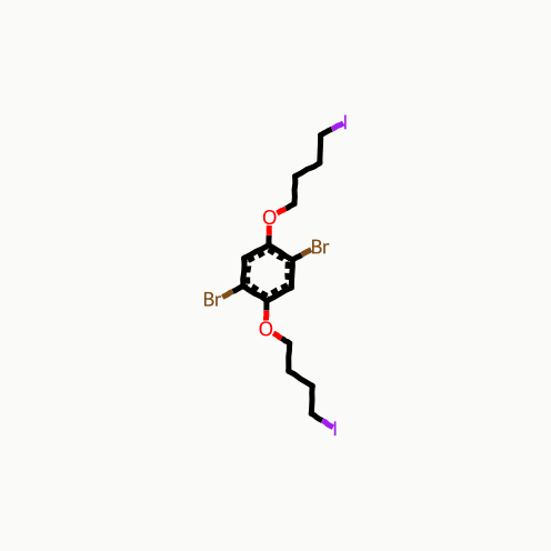 Brc1cc(OCCCCI)c(Br)cc1OCCCCI